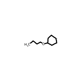 CCCCO[C]1CC[CH]CC1